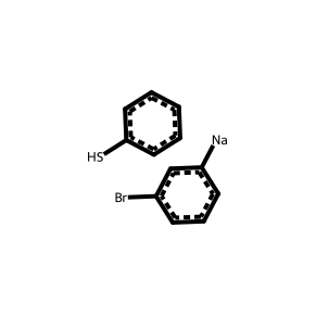 Sc1ccccc1.[Na][c]1cccc(Br)c1